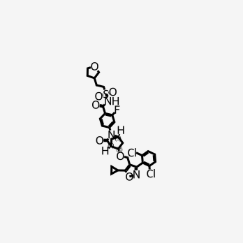 O=C(NS(=O)(=O)CCC1CCOC1)c1ccc(N2C(=O)[C@@H]3C[C@H]2C[C@H]3OCc2c(-c3c(Cl)cccc3Cl)noc2C2CC2)cc1F